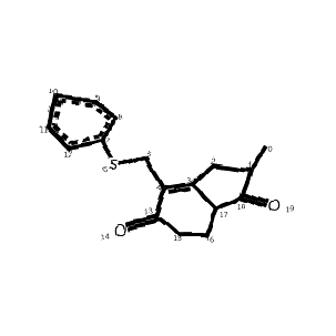 CC1CC2=C(CSc3ccccc3)C(=O)CCC2C1=O